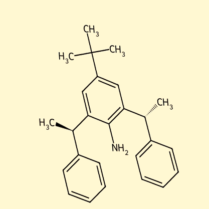 C[C@H](c1ccccc1)c1cc(C(C)(C)C)cc([C@H](C)c2ccccc2)c1N